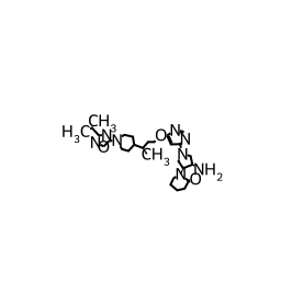 CC(C)c1noc(N2CCC([C@H](C)CCOc3cc(N4C[C@@H](N)[C@@H](N5CCCCC5=O)C4)ncn3)CC2)n1